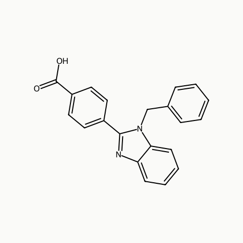 O=C(O)c1ccc(-c2nc3ccccc3n2Cc2ccccc2)cc1